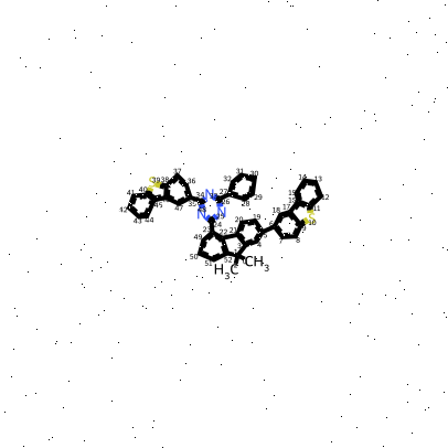 CC1(C)c2cc(-c3ccc4sc5ccccc5c4c3)ccc2-c2c(-c3nc(-c4ccccc4)nc(-c4ccc5sc6ccccc6c5c4)n3)cccc21